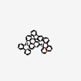 c1ccc(-c2ccccc2N(c2ccccc2)c2cc3c4c(ccc5c4c4c(cccc4n5-c4ccccc4-c4ccccc4)C34c3ccccc3-c3ccccc34)c2)cc1